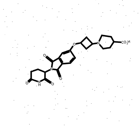 O=C1CCC(N2C(=O)c3ccc(OC4CC(N5CCC(C(=O)O)CC5)C4)cc3C2=O)C(=O)N1